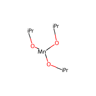 CC(C)[O][Mn]([O]C(C)C)[O]C(C)C